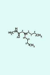 [CH2]NC(=O)CN(CCCC)CCCC